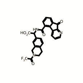 O=C(NC(C(=O)O)c1ccc2c(c1)CN(C(=O)C(F)(F)F)CC2)c1cccc2c1-c1cccnc1C2=O